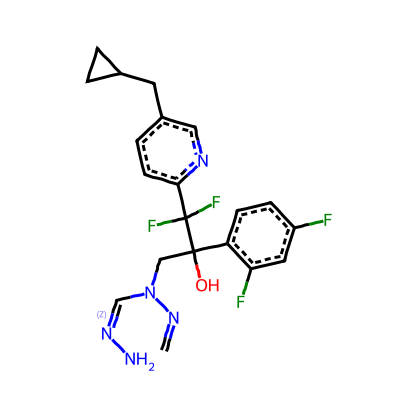 C=NN(/C=N\N)CC(O)(c1ccc(F)cc1F)C(F)(F)c1ccc(CC2CC2)cn1